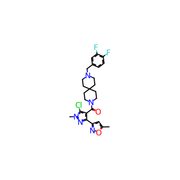 Cc1cc(-c2nn(C)c(Cl)c2C(=O)N2CCC3(CCN(Cc4ccc(F)c(F)c4)CC3)CC2)no1